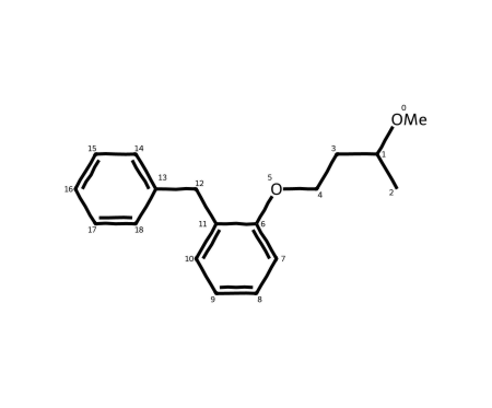 COC(C)CCOc1ccccc1Cc1ccccc1